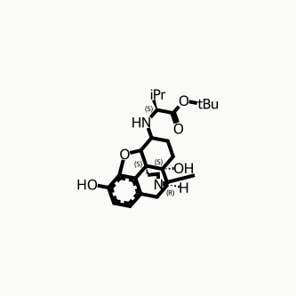 CC(C)[C@H](NC1CC[C@@]2(O)[C@H]3Cc4ccc(O)c5c4[C@@]2(CCN3C)C1O5)C(=O)OC(C)(C)C